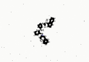 O=C(Nc1cccc(Nc2ncccc2/N=C(\CO)Cc2ccccc2)c1)Nc1cccc2ccccc12